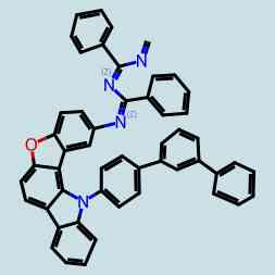 C=N/C(=N\C(=N/c1ccc2oc3ccc4c5ccccc5n(-c5ccc(-c6cccc(-c7ccccc7)c6)cc5)c4c3c2c1)c1ccccc1)c1ccccc1